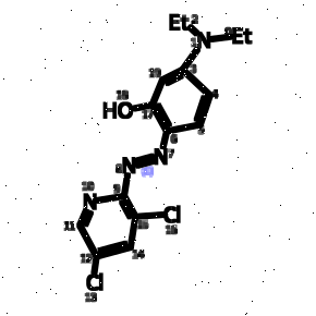 CCN(CC)c1ccc(/N=N/c2ncc(Cl)cc2Cl)c(O)c1